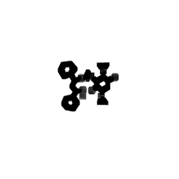 O=C1C=C(N2CC2)C(=O)C(N2CC2)=C1N1CC1.OC(CC(O)c1ccccc1)c1ccccc1